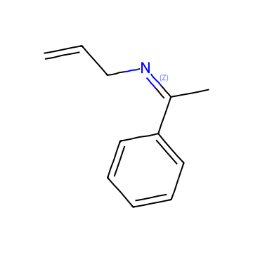 C=CC/N=C(/C)c1ccccc1